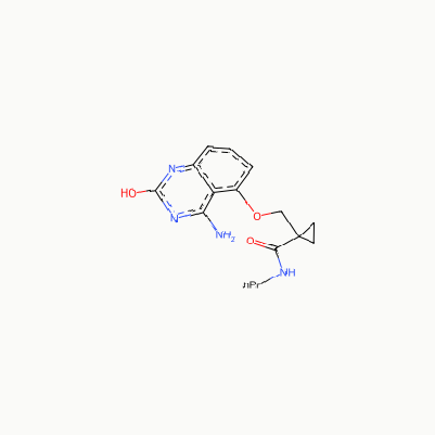 CCCNC(=O)C1(COc2cccc3nc(O)nc(N)c23)CC1